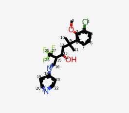 COc1c(Cl)cccc1C(C)(C)CC(O)C(C=Nc1ccncc1)C(F)(F)F